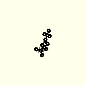 c1ccc(-c2nc(-c3ccccc3)nc(-c3c4ccccc4c(-c4cccc5c4oc4ccc(-c6c7ccccc7c(-c7ccccc7)c7ccccc67)cc45)c4ccccc34)n2)cc1